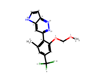 COCOc1cc(C(F)(F)F)cc(C)c1-c1cc2[nH]ccc2nn1